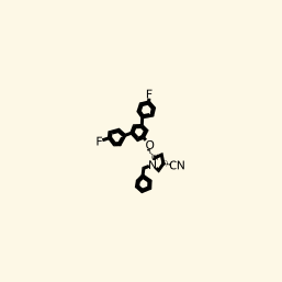 N#C[C@H]1C[C@@H](COc2cc(-c3ccc(F)cc3)cc(-c3ccc(F)cc3)c2)N(Cc2ccccc2)C1